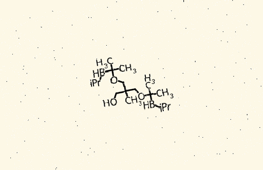 CC(C)BC(C)(C)OCC(C)(CO)COC(C)(C)BC(C)C